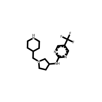 FC(F)(F)c1cnc(NC2CCN(CC3CCNCC3)C2)nc1